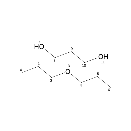 CCCOCCC.OCCCO